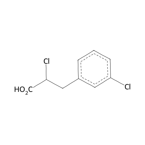 O=C(O)C(Cl)Cc1cccc(Cl)c1